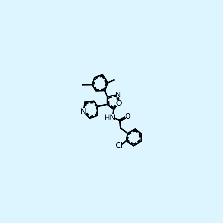 Cc1ccc(C)c(-c2noc(NC(=O)Cc3ccccc3Cl)c2-c2ccncc2)c1